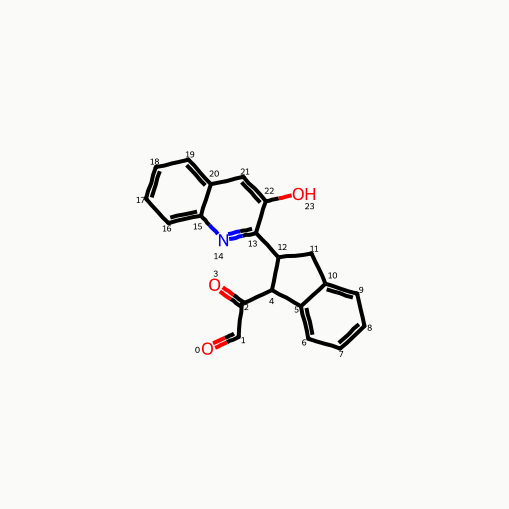 O=CC(=O)C1c2ccccc2CC1c1nc2ccccc2cc1O